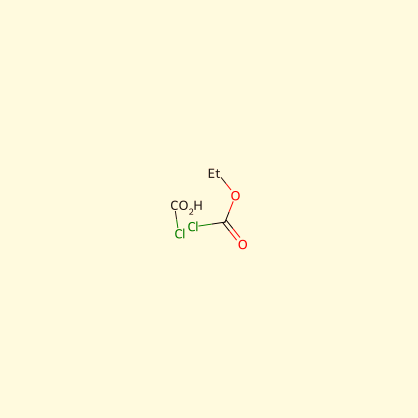 CCOC(=O)Cl.O=C(O)Cl